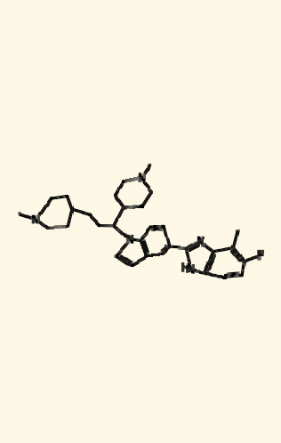 Cc1c(F)ccc2[nH]c(-c3ccc4c(ccn4C(CCC4CCN(C)CC4)C4CCN(C)CC4)c3)nc12